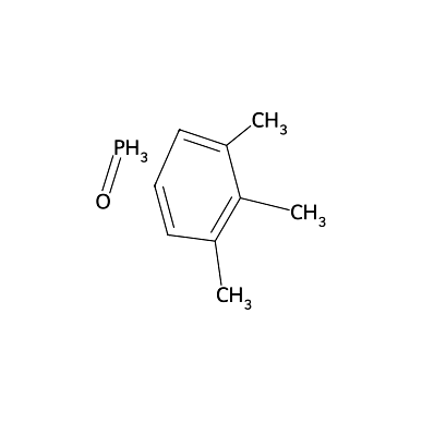 Cc1cccc(C)c1C.O=[PH3]